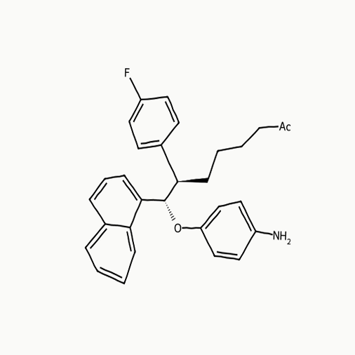 CC(=O)CCCC[C@H](c1ccc(F)cc1)[C@H](Oc1ccc(N)cc1)c1cccc2ccccc12